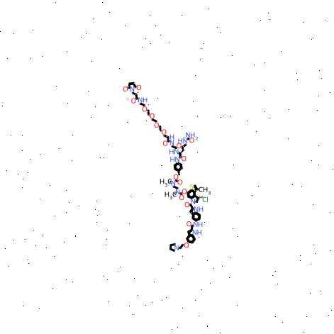 Cc1csc2c(OC(=O)N(C)CCN(C)C(=O)OCc3ccc(NC(=O)[C@H](CCCNC(N)=O)NC(=O)CNC(=O)CCOCCOCCOCCOCCNC(=O)CCN4C(=O)C=CC4=O)cc3)cc3c(c12)[C@H](CCl)CN3C(=O)c1cc2cc(NC(=O)c3cc4cc(OCCN5CCCC5)ccc4[nH]3)ccc2[nH]1